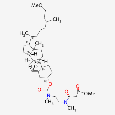 COCCC(C)CCC[C@@H](C)[C@H]1CC[C@H]2[C@@H]3CC=C4C[C@@H](OC(=O)N(C)CCN(C)C(=O)CC(=O)OC)CC[C@]4(C)[C@H]3CC[C@]12C